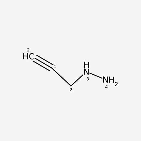 C#CCNN